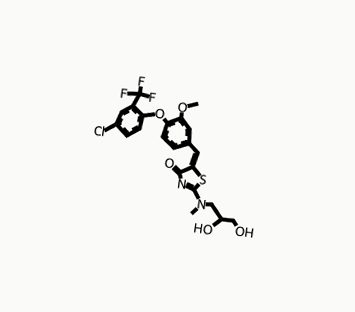 COc1cc(/C=C2/SC(N(C)CC(O)CO)=NC2=O)ccc1Oc1ccc(Cl)cc1C(F)(F)F